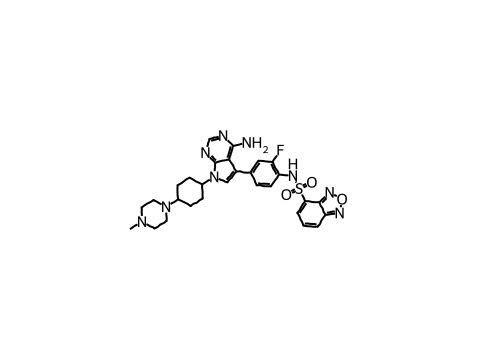 CN1CCN(C2CCC(n3cc(-c4ccc(NS(=O)(=O)c5cccc6nonc56)c(F)c4)c4c(N)ncnc43)CC2)CC1